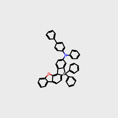 c1ccc(-c2ccc(N(c3ccccc3)c3ccc4c(c3)[Si](c3ccccc3)(c3ccccc3)c3ccc5c(oc6ccccc65)c3-4)cc2)cc1